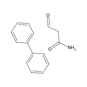 NC(=O)CC=O.c1ccc(-c2ccccc2)cc1